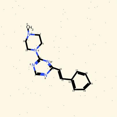 CN1CCN(c2ncnc(C=Cc3ccccc3)n2)CC1